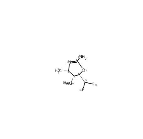 CO[C@@H]1[C@H](C)N=C(N)O[C@@H]1C(F)F